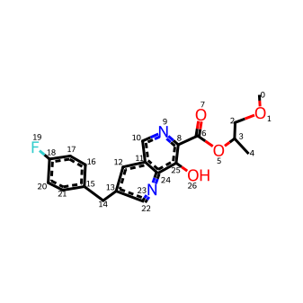 COCC(C)OC(=O)c1ncc2cc(Cc3ccc(F)cc3)cnc2c1O